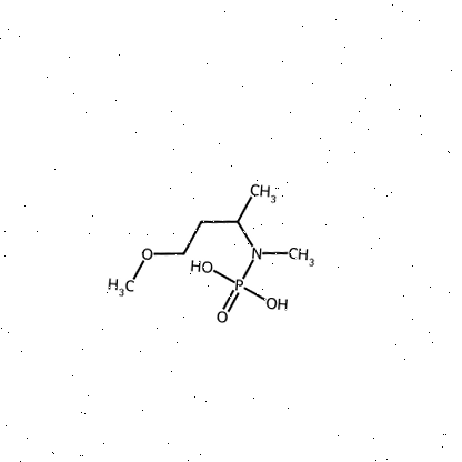 COCCC(C)N(C)P(=O)(O)O